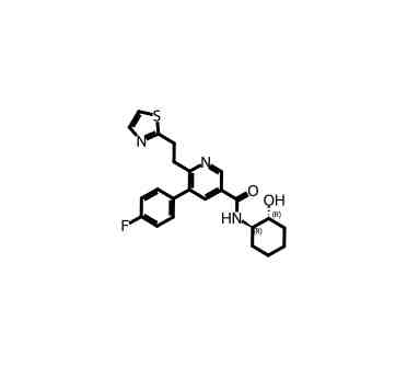 O=C(N[C@@H]1CCCC[C@H]1O)c1cnc(CCc2nccs2)c(-c2ccc(F)cc2)c1